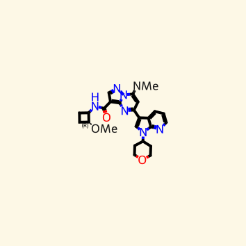 CNc1cc(-c2cn(C3CCOCC3)c3ncccc23)nc2c(C(=O)NC3CC[C@H]3OC)cnn12